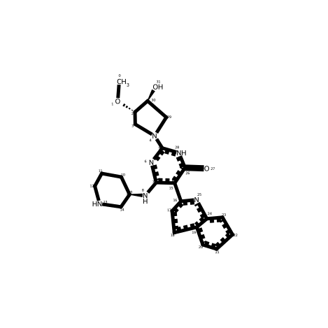 CO[C@H]1CN(c2nc(N[C@@H]3CCCNC3)c(-c3ccc4ccccc4n3)c(=O)[nH]2)C[C@@H]1O